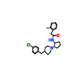 Cc1ccccc1CC(=O)NC1CCCC1N1CCC(Cc2ccc(Cl)cc2)CC1